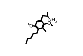 CCCCCc1c(OC)cc(CC(C)N)c(OC)c1C